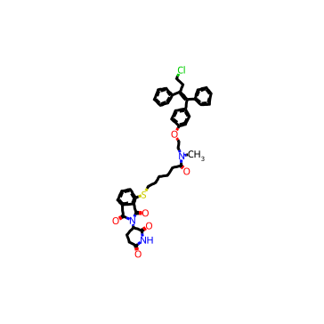 CN(CCOc1ccc(C(=C(CCCl)c2ccccc2)c2ccccc2)cc1)C(=O)CCCCCSc1cccc2c1C(=O)N(C1CCC(=O)NC1=O)C2=O